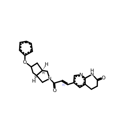 O=C1CCc2cc(/C=C/C(=O)N3C[C@H]4CC(Oc5ccccc5)C[C@H]4C3)cnc2N1